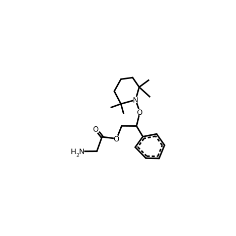 CC1(C)CCCC(C)(C)N1OC(COC(=O)CN)c1ccccc1